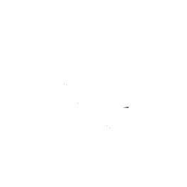 [2H]On1cnc(C[C@H](N)C(=O)O)c1